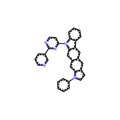 c1ccc(-n2ccc3cc4cc5c6ccccc6n(-c6ccnc(-c7cccnc7)n6)c5cc4cc32)cc1